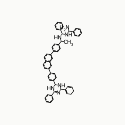 CC(NC(NC(N)c1ccccc1)c1ccccc1)c1ccc(-c2ccc3ccc(-c4ccc(C5NC(c6ccccc6)=NC(C6=CCCC=C6)N5)cc4)cc3c2)cc1